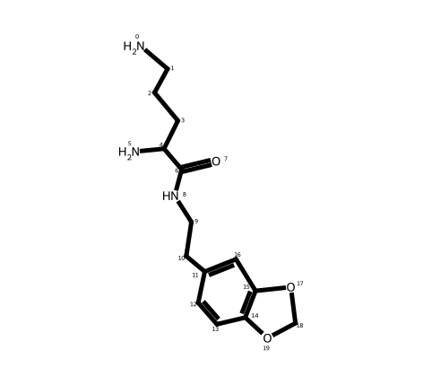 NCCCC(N)C(=O)NCCc1ccc2c(c1)OCO2